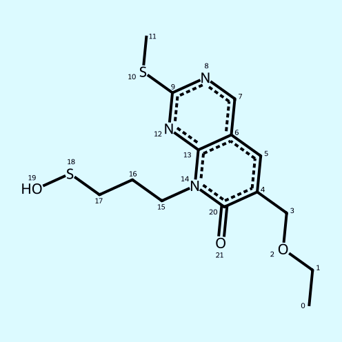 CCOCc1cc2cnc(SC)nc2n(CCCSO)c1=O